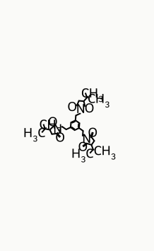 CC(C)C1CC(=O)N(CCc2cc(CCN3C(=O)CC(C(C)C)C3=O)cc(CCN3C(=O)CC(C(C)C)C3=O)c2)C1=O